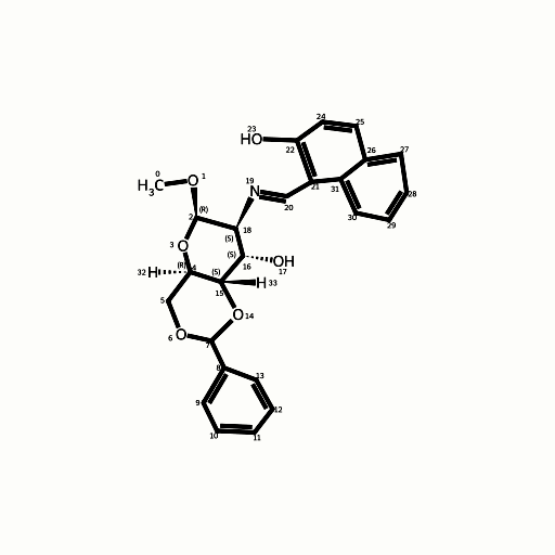 CO[C@@H]1O[C@@H]2COC(c3ccccc3)O[C@H]2[C@@H](O)[C@@H]1N=Cc1c(O)ccc2ccccc12